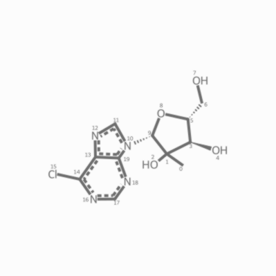 CC1(O)[C@H](O)[C@@H](CO)O[C@H]1n1cnc2c(Cl)ncnc21